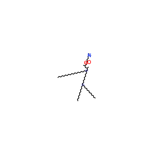 CCCCCCCCCCCCCCCCCC/C(=C\C(C)CC(C)COC(=O)CCCN(C)C)CCCCCCC/C=C(/CCCCCCCCCC)CCCCCCCCCCC